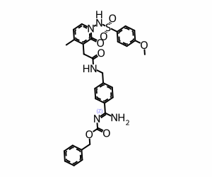 COc1ccc(S(=O)(=O)Nn2ccc(C)c(CC(=O)NCc3ccc(/C(N)=N/C(=O)OCc4ccccc4)cc3)c2=O)cc1